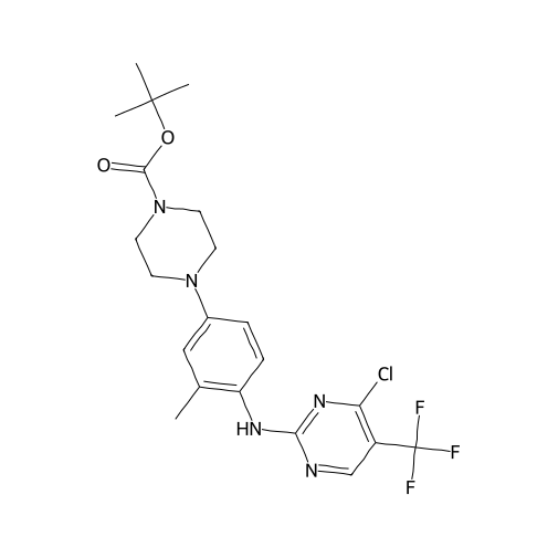 Cc1cc(N2CCN(C(=O)OC(C)(C)C)CC2)ccc1Nc1ncc(C(F)(F)F)c(Cl)n1